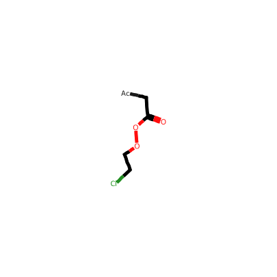 CC(=O)CC(=O)OOCCCl